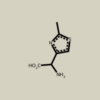 Cc1nc(C(N)C(=O)O)cs1